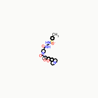 Cc1ccc([S+]([O-])NCCNC(=O)C2CCN(C(=O)/C(C#N)=C/c3cc4cc5c6c(c4oc3=O)CCCN6CCC5)CC2)cc1